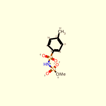 COS(=O)(=O)NS(=O)(=O)c1ccc(C)cc1